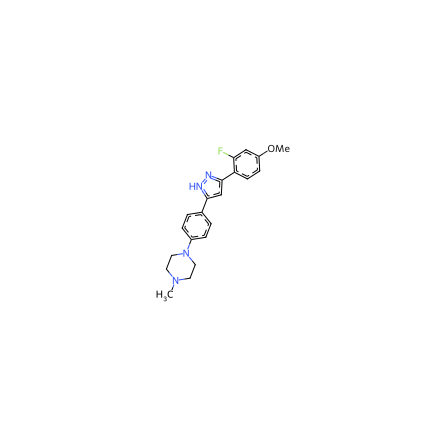 COc1ccc(-c2cc(-c3ccc(N4CCN(C)CC4)cc3)[nH]n2)c(F)c1